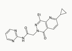 CCc1nn(CC(=O)Nc2ncccn2)c(=O)c2ccc(C3CC3)nc12